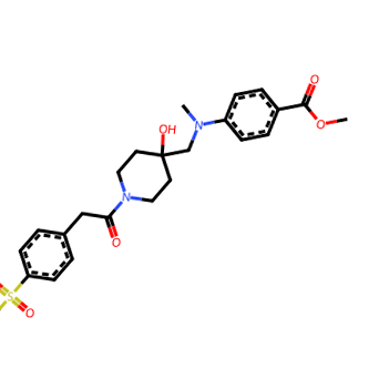 COC(=O)c1ccc(N(C)CC2(O)CCN(C(=O)Cc3ccc(S(C)(=O)=O)cc3)CC2)cc1